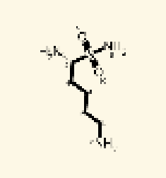 NCCCC[C@H](N)S(N)(=O)=O